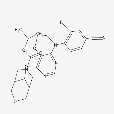 CC(C)OC(=O)N1CC2COCC(C1)C2Oc1ncnc2c1OCCN2c1ccc(C#N)cc1F